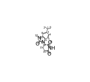 CC(C)c1ccc2c(c1)n(C)c(=O)n2[C@H]1CCC(=O)NC1=O